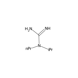 CCCN(C(=N)N)C(C)C